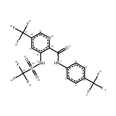 O=C(Nc1ccc(C(F)(F)F)cc1)c1ncc(C(F)(F)F)cc1NS(=O)(=O)C(F)(F)F